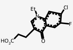 CCn1cc(CCC(=O)O)c(=O)c2cc(F)c(Cl)cc21